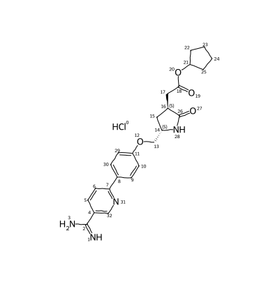 Cl.N=C(N)c1ccc(-c2ccc(OC[C@@H]3C[C@@H](CC(=O)OC4CCCC4)C(=O)N3)cc2)nc1